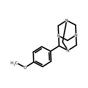 COc1ccc(C2N3CN4CN(C3)CN2C4)cc1